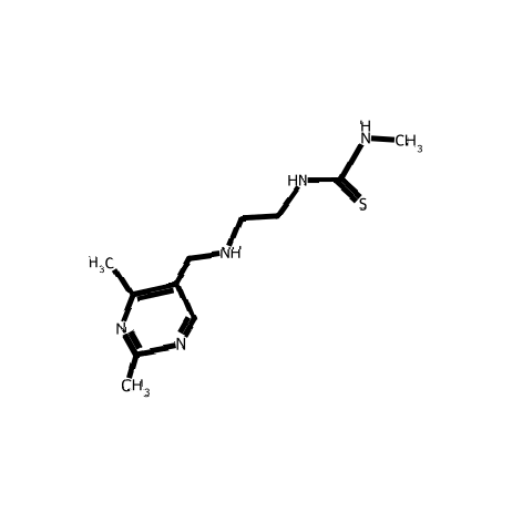 CNC(=S)NCCNCc1cnc(C)nc1C